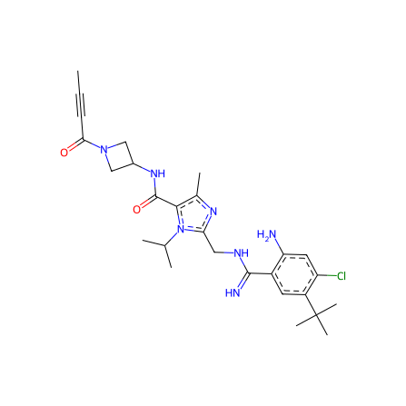 CC#CC(=O)N1CC(NC(=O)c2c(C)nc(CNC(=N)c3cc(C(C)(C)C)c(Cl)cc3N)n2C(C)C)C1